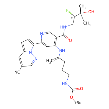 C=C(CCCNC(=O)OC(C)(C)C)Nc1cc(-c2ccc3cc(C#N)cnn23)ncc1C(=O)NC[C@@H](F)C(C)(C)O